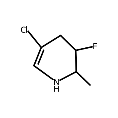 CC1NC=C(Cl)CC1F